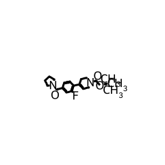 CC(C)(C)OC(=O)N1CC=C(c2ccc(C(=O)N3CCCC3)cc2F)CC1